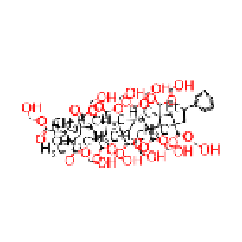 CCC(CC(C)(CC(C)(CC(C)(CC(C)(CC(C)(CC(C)(CC(C)(CC(C)(CC(C)(CC(C)(C)C(=O)OCO)C(=O)OCO)C(=O)OCO)C(=O)OCO)C(=O)OCO)C(=O)OCO)C(=O)OCO)C(=O)OCO)C(=O)OCO)C(=O)OCO)c1ccccc1